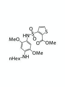 CCCCCCNc1cc(OC)c(NS(=O)(=O)c2ccsc2C(=O)OC)cc1OC